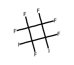 FC1(F)C(F)(F)C(F)(I)C1(F)I